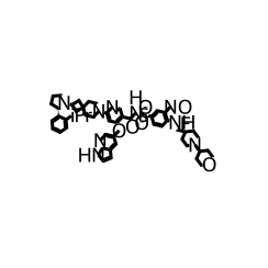 CC(C)c1ccccc1[C@@H]1CCCN1C1CC2(CCN(c3cc(Oc4cnc5[nH]ccc5c4)c(C(=O)NS(=O)(=O)c4ccc(NCC5(F)CCN(C6CCOCC6)CC5)c(N=O)c4)cn3)CC2)C1